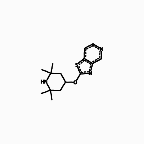 CC1(C)CC(Oc2nc3cnccc3s2)CC(C)(C)N1